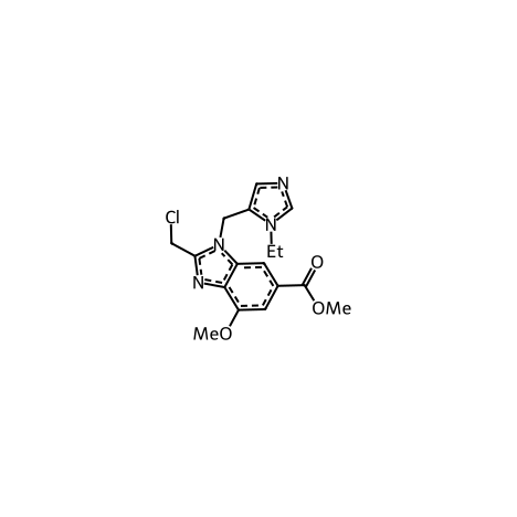 CCn1cncc1Cn1c(CCl)nc2c(OC)cc(C(=O)OC)cc21